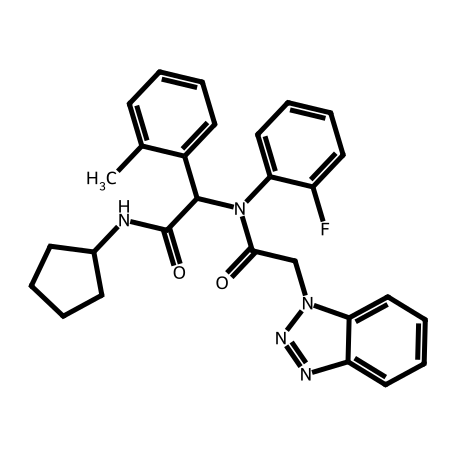 Cc1ccccc1C(C(=O)NC1CCCC1)N(C(=O)Cn1nnc2ccccc21)c1ccccc1F